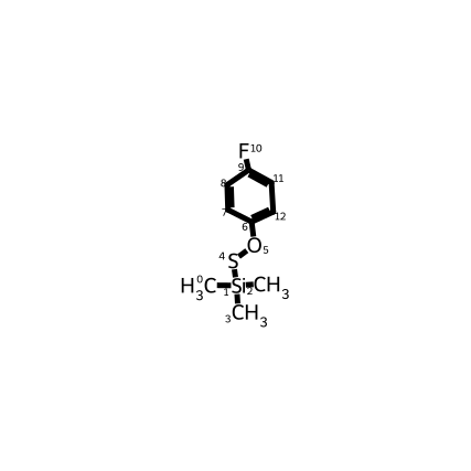 C[Si](C)(C)SOc1ccc(F)cc1